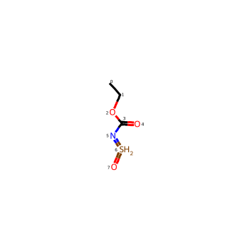 CCOC(=O)N=[SH2]=O